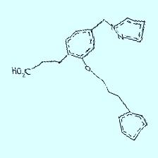 O=C(O)CCc1ccc(Cn2cccn2)cc1OCCCc1ccccc1